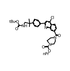 CCCOC(=O)N1CCN(C(=O)c2ccc3c(Cl)cc(-c4ccc(C(C)(C)CNC(=O)OC(C)(C)C)cc4)nc3c2)CC1